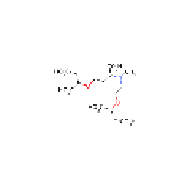 CN(CCOC(CC(=O)O)C(=O)O)[C@@H](CCOC(CC(=O)O)C(=O)O)C(=O)O